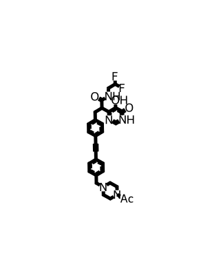 CC(=O)N1CCN(Cc2ccc(C#Cc3ccc(CC(C(=O)NCC(F)F)c4nc[nH]c(=O)c4O)cc3)cc2)CC1